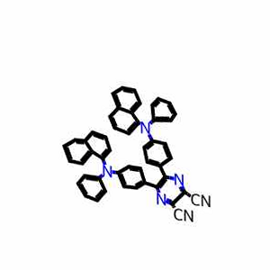 N#Cc1nc(-c2ccc(N(c3ccccc3)c3cccc4ccccc34)cc2)c(-c2ccc(N(c3ccccc3)c3cccc4ccccc34)cc2)nc1C#N